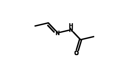 C/C=N/NC(C)=O